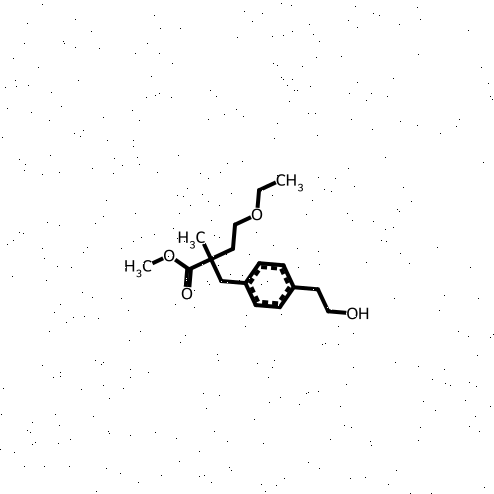 CCOCCC(C)(Cc1ccc(CCO)cc1)C(=O)OC